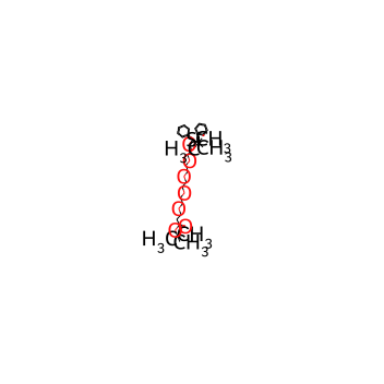 CC(C)(C)OC(=O)CCOCCOCCOCCOCCO[Si](c1ccccc1)(c1ccccc1)C(C)(C)C